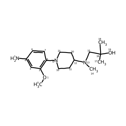 COc1cc(N)ccc1N1CCC(N(C)CC(C)(C)O)CC1